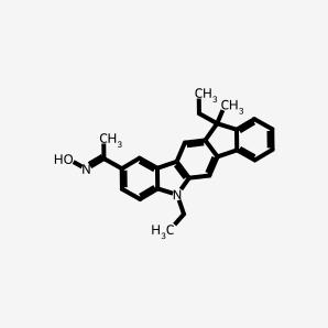 CCn1c2ccc(/C(C)=N/O)cc2c2cc3c(cc21)-c1ccccc1C3(C)CC